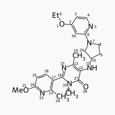 CCOc1ccnc(N2CCC(Nc3c(C)nc(-c4ccc(OC)nc4C)n(C)c3=O)C2)c1